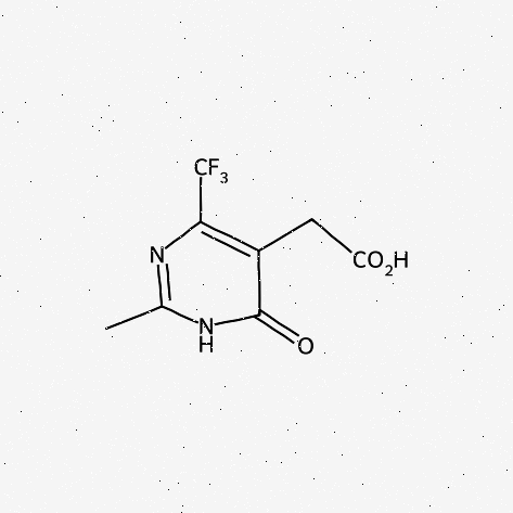 Cc1nc(C(F)(F)F)c(CC(=O)O)c(=O)[nH]1